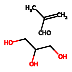 C=C(C)C=O.OCC(O)CO